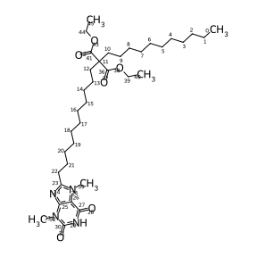 CCCCCCCCCCCC(CCCCCCCCCCCc1nc2c(c(=O)[nH]c(=O)n2C)n1C)(C(=O)OCC)C(=O)OCC